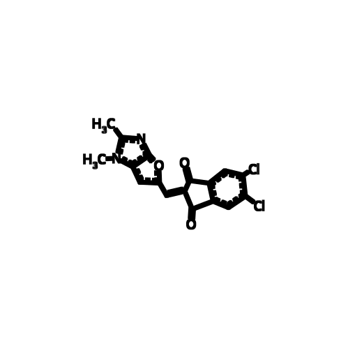 Cc1nc2oc(C=C3C(=O)c4cc(Cl)c(Cl)cc4C3=O)cc2n1C